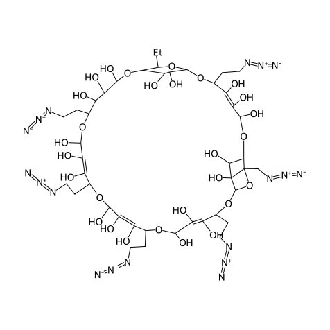 CCC1OC2OC(CCN=[N+]=[N-])/C(O)=C(/O)C(O)OC3C(O)C4(O)C(OC(CCN=[N+]=[N-])/C(O)=C(\O)C(O)OC(CCN=[N+]=[N-])/C(O)=C(/O)C(O)OC(CCN=[N+]=[N-])/C(O)=C(/O)C(O)OC(CCN=[N+]=[N-])C(O)C(O)C(O)OC1C(O)C2O)OC34CN=[N+]=[N-]